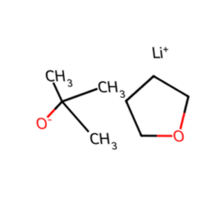 C1CCOC1.CC(C)(C)[O-].[Li+]